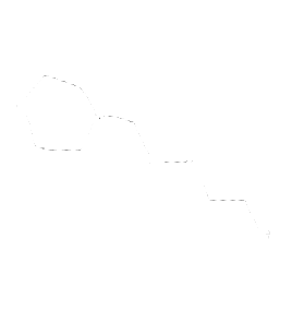 OCCCOCN1CCOCC1